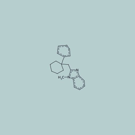 Cn1c(CC2(c3ccccc3)CCCCC2)nc2ccccc21